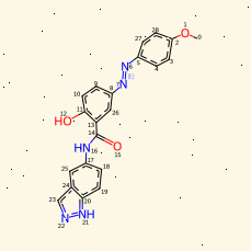 COc1ccc(/N=N/c2ccc(O)c(C(=O)Nc3ccc4[nH]ncc4c3)c2)cc1